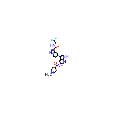 CN1CCC(C(=O)Nc2cnc3[nH]cc(-c4ccn5ncc(C(=O)NCC(F)F)c5c4)c3c2)CC1